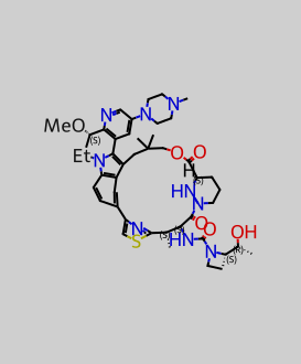 CCn1c(-c2cc(N3CCN(C)CC3)cnc2[C@H](C)OC)c2c3cc(ccc31)-c1csc(n1)[C@@H](C)[C@H](NC(=O)N1CC[C@H]1[C@@H](C)O)C(=O)N1CCC[C@H](N1)C(=O)OCC(C)(C)C2